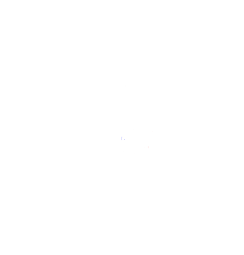 CCC(=O)NC(Cc1ccc(OC)c(OC)c1)C(=O)O